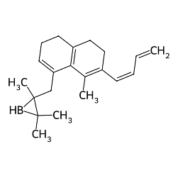 C=C/C=C\C1=C(C)C2=C(CCC=C2CC2(C)BC2(C)C)CC1